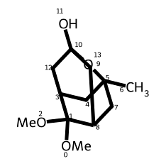 COC1(OC)C2CC3(C)CC1CC(O)(C2)O3